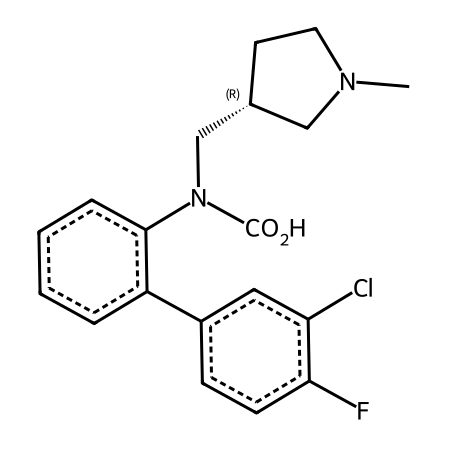 CN1CC[C@@H](CN(C(=O)O)c2ccccc2-c2ccc(F)c(Cl)c2)C1